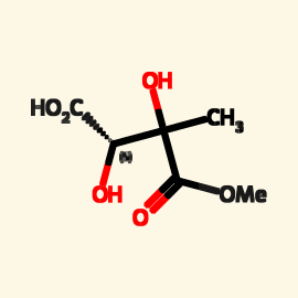 COC(=O)C(C)(O)[C@H](O)C(=O)O